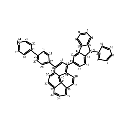 c1ccc(-n2c3ccccc3c3cc(-c4cc(-c5ccc(-c6ccncc6)cc5)c5ccc6cccc7ccc4c5c67)ccc32)cc1